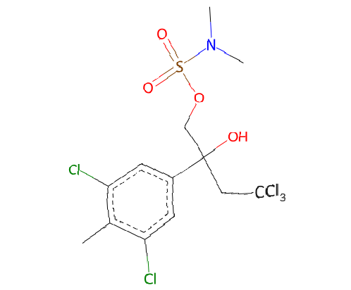 Cc1c(Cl)cc(C(O)(COS(=O)(=O)N(C)C)CC(Cl)(Cl)Cl)cc1Cl